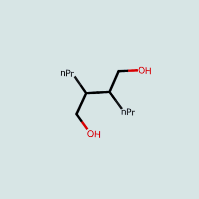 CCCC(CO)C(CO)CCC